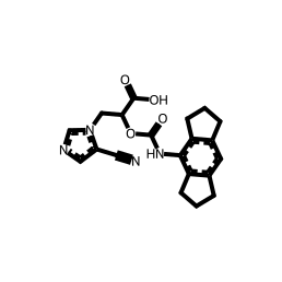 N#Cc1cncn1CC(OC(=O)Nc1c2c(cc3c1CCC3)CCC2)C(=O)O